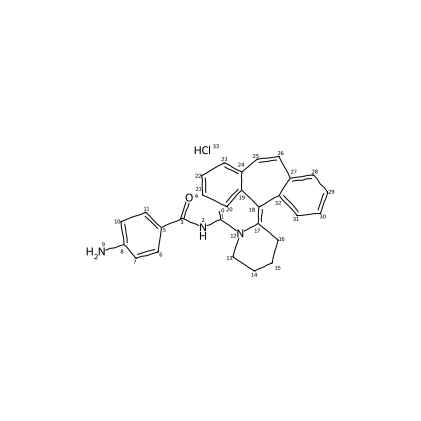 CC(NC(=O)c1ccc(N)cc1)N1CCCCC1=C1c2ccccc2C=Cc2ccccc21.Cl